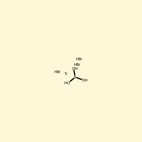 Br.Br.Br.OB(O)O.[Ti]